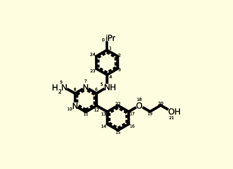 CC(C)c1ccc(Nc2nc(N)ncc2-c2cccc(OCCO)c2)cc1